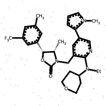 CCN(c1ncc(-c2cccn2C)cc1CN1C(=O)O[C@H](c2cc(C)cc(C(F)(F)F)c2)[C@@H]1C)C1CCOCC1